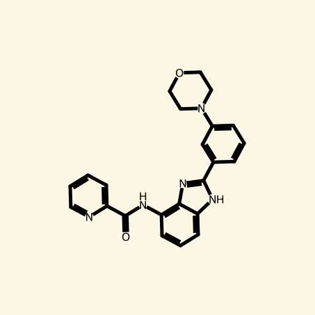 O=C(Nc1cccc2[nH]c(-c3cccc(N4CCOCC4)c3)nc12)c1ccccn1